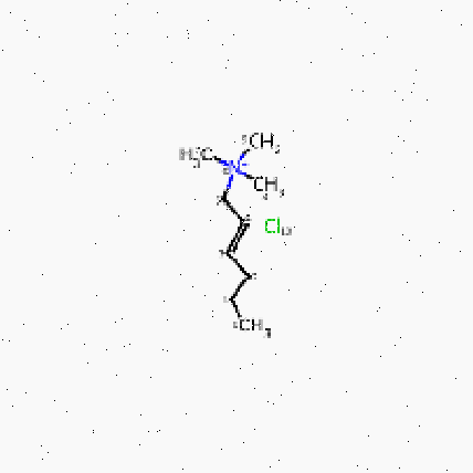 CCCC=CC[N+](C)(C)C.[Cl-]